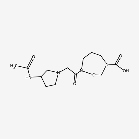 CC(=O)NC1CCN(CC(=O)N2CCCN(C(=O)O)CC2)C1